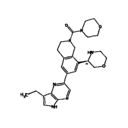 CCc1c[nH]c2ncc(-c3cc4c(c([C@@H]5COCCN5)c3)CN(C(=O)N3CCOCC3)CC4)nc12